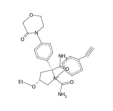 C#Cc1ccc([N+]2(C(N)=O)C[C@H](OCC)C[C@]2(C(N)=O)c2ccc(N3CCOCC3=O)cc2)cc1